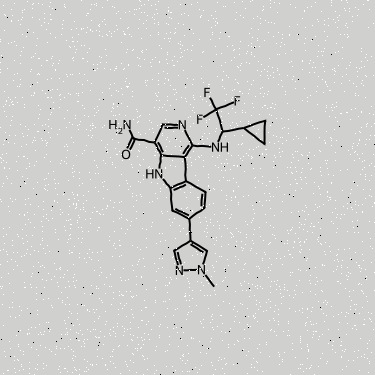 Cn1cc(-c2ccc3c(c2)[nH]c2c(C(N)=O)cnc(NC(C4CC4)C(F)(F)F)c23)cn1